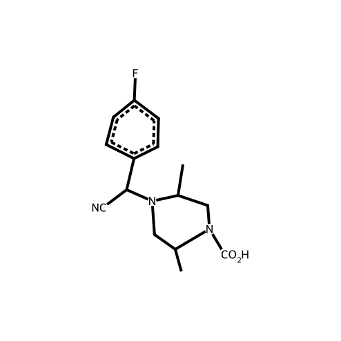 CC1CN(C(C#N)c2ccc(F)cc2)C(C)CN1C(=O)O